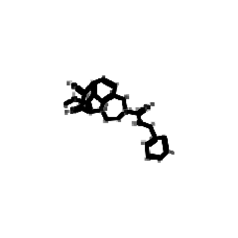 COc1c2n3c4c(ccc(c14)C(=O)C2=O)CN(C(=O)OCc1ccccc1)CC3